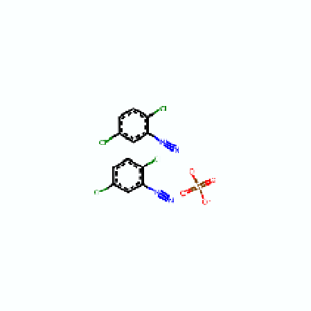 N#[N+]c1cc(Cl)ccc1Cl.N#[N+]c1cc(Cl)ccc1Cl.O=S(=O)([O-])[O-]